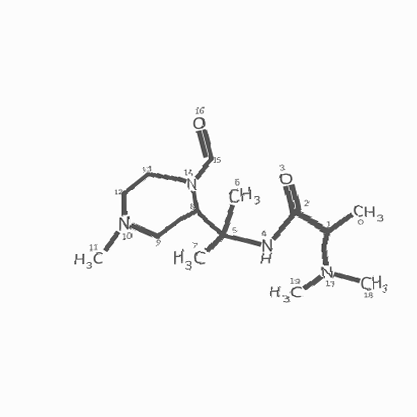 CC(C(=O)NC(C)(C)C1CN(C)CCN1C=O)N(C)C